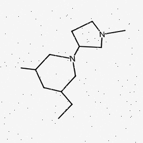 CCC1CC(C)CN(C2CCN(C)C2)C1